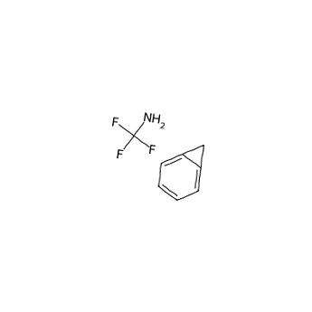 NC(F)(F)F.c1ccc2c(c1)C2